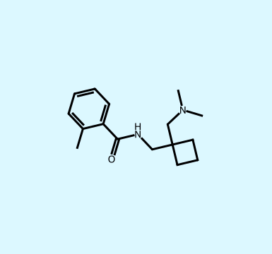 Cc1ccccc1C(=O)NCC1(CN(C)C)CCC1